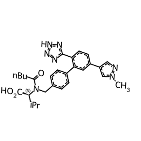 CCCCC(=O)N(Cc1ccc(-c2cc(-c3cnn(C)c3)ccc2-c2nn[nH]n2)cc1)[C@H](C(=O)O)C(C)C